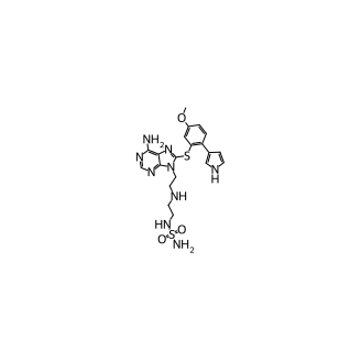 COc1ccc(-c2cc[nH]c2)c(Sc2nc3c(N)ncnc3n2CCNCCNS(N)(=O)=O)c1